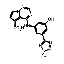 CC(C)n1nnc(-c2cc(O)cc(Nc3ncnn4ccc(C(=O)O)c34)c2)n1